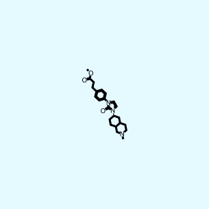 COC(=O)CCc1ccc(-n2ccn([C@H]3CCC4CN(C)CCC4C3)c2=O)cc1